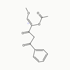 CO/C=C(\OC(C)=O)C(=O)CC(=O)c1ccccc1